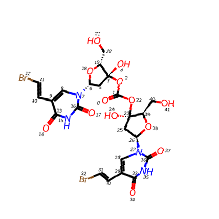 O=C(O[C@]1(O)C[C@H](n2cc(C=CBr)c(=O)[nH]c2=O)O[C@@H]1CO)O[C@]1(O)C[C@H](n2cc(C=CBr)c(=O)[nH]c2=O)O[C@@H]1CO